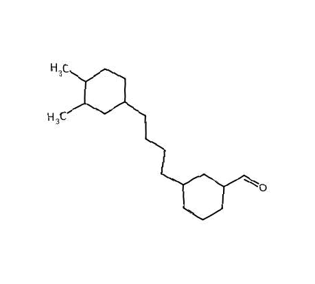 CC1CCC(CCCCC2CCCC(C=O)C2)CC1C